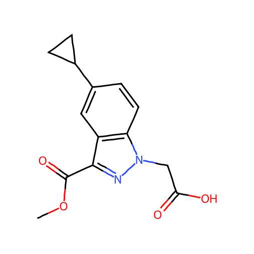 COC(=O)c1nn(CC(=O)O)c2ccc(C3CC3)cc12